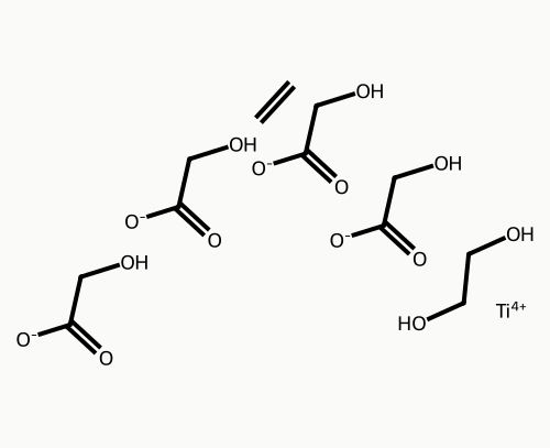 C=C.O=C([O-])CO.O=C([O-])CO.O=C([O-])CO.O=C([O-])CO.OCCO.[Ti+4]